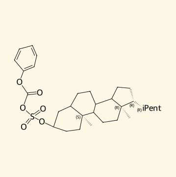 CCC[C@@H](C)[C@H]1CCC2C3CCC4CC(OS(=O)(=O)OC(=O)Oc5ccccc5)CC[C@]4(C)C3CC[C@@]21C